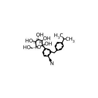 CC(C)c1ccc(Cc2cc([C@]3(O)O[C@H](CO)[C@@H](O)[C@H](O)[C@H]3O)ccc2C#N)cc1